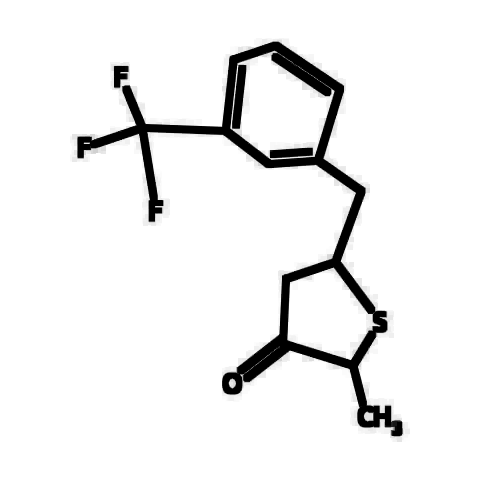 CC1SC(Cc2cccc(C(F)(F)F)c2)CC1=O